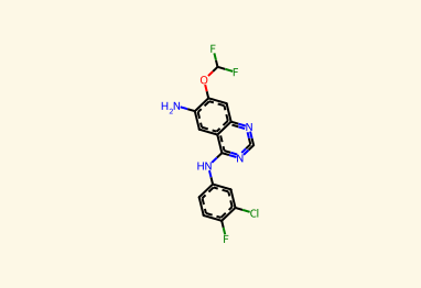 Nc1cc2c(Nc3ccc(F)c(Cl)c3)ncnc2cc1OC(F)F